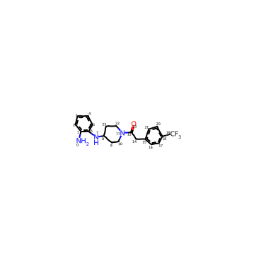 Nc1ccccc1NC1CCN(C(=O)Cc2ccc(C(F)(F)F)cc2)CC1